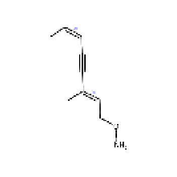 C/C=C\C#C/C(C)=C/CON